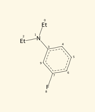 CCN(CC)c1cccc(F)c1